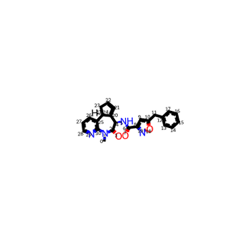 CN1C(=O)[C@H](NC(=O)c2cc(Cc3ccccc3)on2)C2=C=CC[C@@H]2c2cccnc21